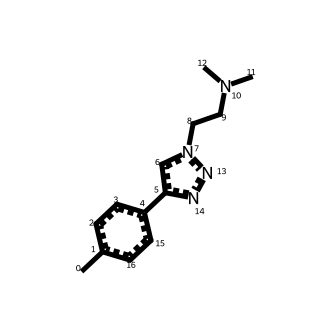 Cc1ccc(-c2cn(CCN(C)C)nn2)cc1